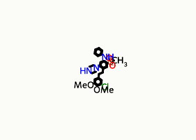 COc1cc(CCc2cc(S(C)(=O)=O)c(Nc3ccccc3)cc2N2CCNCC2)cc(Cl)c1OC